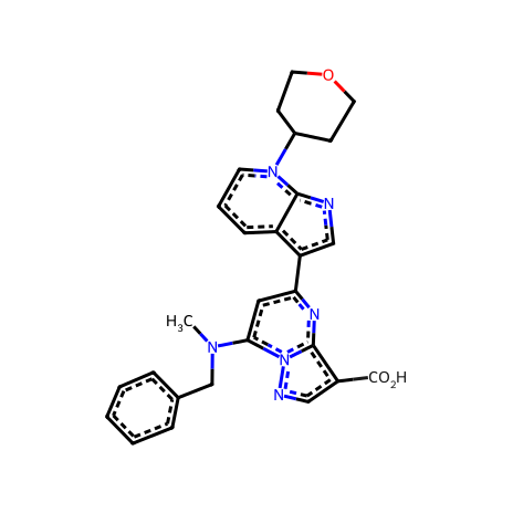 CN(Cc1ccccc1)c1cc(-c2cnc3n(C4CCOCC4)cccc2-3)nc2c(C(=O)O)cnn12